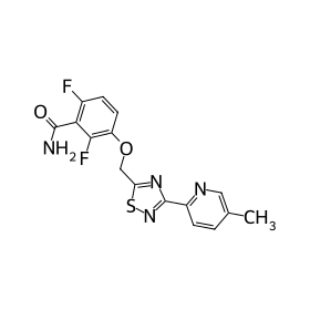 Cc1ccc(-c2nsc(COc3ccc(F)c(C(N)=O)c3F)n2)nc1